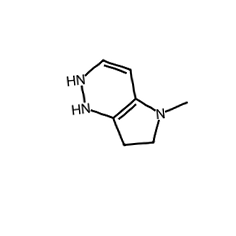 CN1CCC2=C1C=CNN2